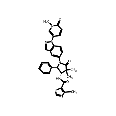 Cc1ncsc1C(=O)N[C@@H]1[C@@H](c2ccccc2)N(c2ccc3c(cnn3-c3ccc(=O)n(C)c3)c2)C(=O)C1(C)C